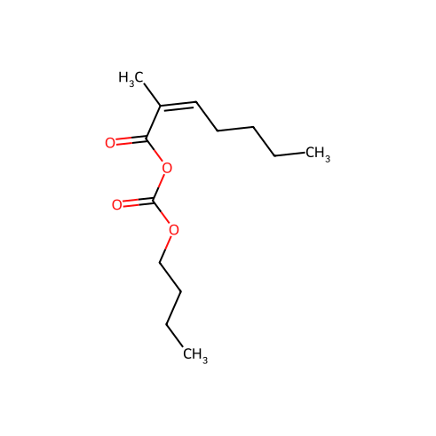 CCCCC=C(C)C(=O)OC(=O)OCCCC